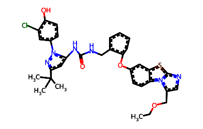 CCOCc1cnc2sc3cc(Oc4ccccc4CNC(=O)Nc4cc(C(C)(C)C)nn4-c4ccc(O)c(Cl)c4)ccc3n12